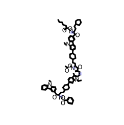 C=C(/C=C\c1c(C)c2ccc(C3CCC(CC/C(=N\OC(=O)c4ccccc4)C(=O)c4ccc5c(c4)c4ccccc4n5CC)CC3)cc2n1CC)C(=O)/C(CCC1CCC(c2ccc3c4cc(C(=O)/C(CCC5CCCCC5)=N/OC(=O)CCCCC)ccc4n(CC)c3c2)CC1)=N/OC(C)=O